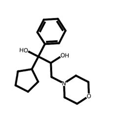 OC(CN1CCOCC1)C(O)(c1ccccc1)C1CCCC1